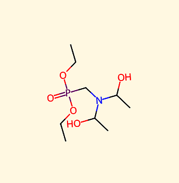 CCOP(=O)(CN(C(C)O)C(C)O)OCC